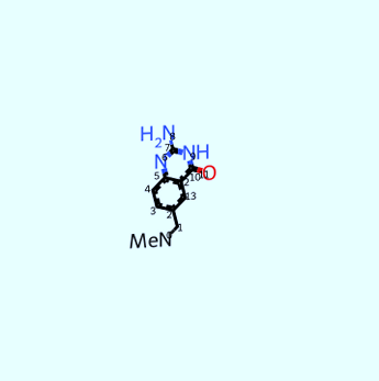 CNCc1ccc2nc(N)[nH]c(=O)c2c1